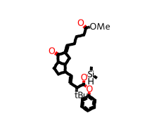 COC(=O)CCCC=C1CC2C(C=CC(C(Oc3ccccc3)O[SiH](C)C)C(C)(C)C)CCC2C1=O